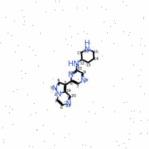 c1cn2ncc(-c3cncc(NC4CCCNC4)n3)c2cn1